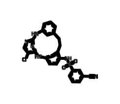 N#Cc1cccc(S(=O)(=O)Nc2ccc3cc2CCc2cccc(c2)Nc2ncc(Cl)c(n2)N3)c1